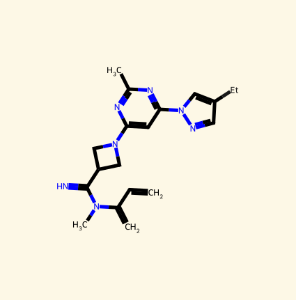 C=CC(=C)N(C)C(=N)C1CN(c2cc(-n3cc(CC)cn3)nc(C)n2)C1